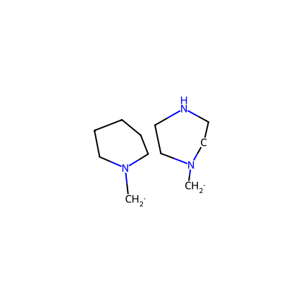 [CH2]N1CCCCC1.[CH2]N1CCNCC1